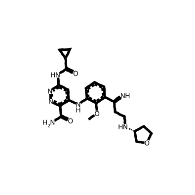 COc1c(Nc2cc(NC(=O)C3CC3)nnc2C(N)=O)cccc1C(=N)CCN[C@@H]1CCOC1